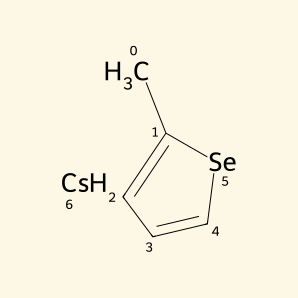 Cc1ccc[se]1.[CsH]